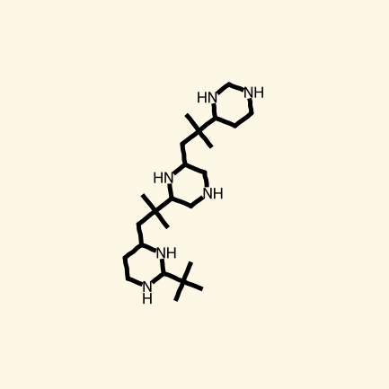 CC(C)(C)C1NCCC(CC(C)(C)C2CNCC(CC(C)(C)C3CCNCN3)N2)N1